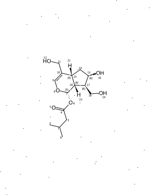 CC(C)CC(=O)O[C@@H]1OC=C(CO)[C@@H]2C[C@@H](O)[C@@H](CO)[C@H]12